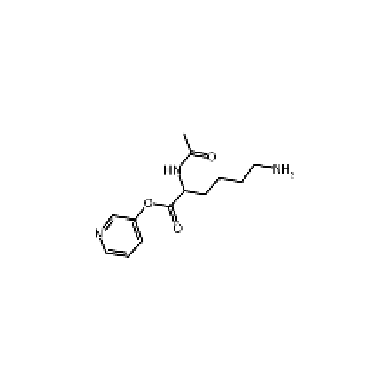 CC(=O)NC(CCCCN)C(=O)Oc1cccnc1